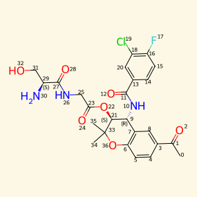 CC(=O)c1ccc2c(c1)[C@@H](NC(=O)c1ccc(F)c(Cl)c1)[C@H](OC(=O)CNC(=O)[C@@H](N)CO)C(C)(C)O2